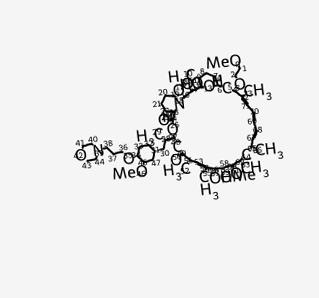 COCCO[C@H]1C[C@@H]2CC[C@@H](C)[C@@](O)(O2)C(=O)C(=O)N2CCCC[C@H]2C(=O)O[C@H]([C@H](C)C[C@@H]2CC[C@@H](OCCCN3CCOCC3)[C@H](OC)C2)CC(=O)[C@H](C)/C=C(\C)[C@@H](O)[C@@H](OC)C(=O)[C@H](C)C[C@H](C)/C=C/C=C/C=C/1C